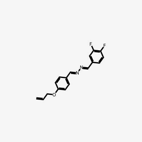 C=CCOc1ccc(/C=N/N=C/c2ccc(F)c(F)c2)cc1